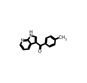 Cc1ccc(C(=O)c2c[nH]c3ncccc23)cc1